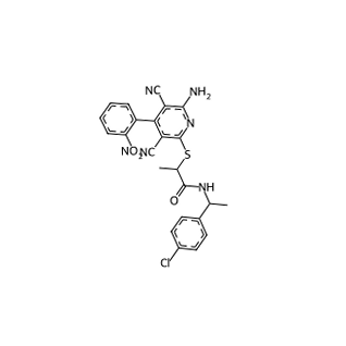 CC(Sc1nc(N)c(C#N)c(-c2ccccc2[N+](=O)[O-])c1C#N)C(=O)NC(C)c1ccc(Cl)cc1